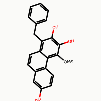 COc1c(O)c(O)c(Cc2ccccc2)c2ccc3cc(O)ccc3c12